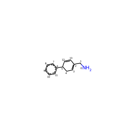 NCC1=CCC(c2ccccc2)C=C1